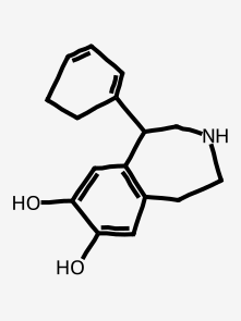 Oc1cc2c(cc1O)C(C1=CC=CCC1)CNCC2